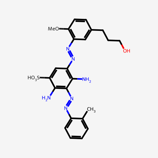 COc1ccc(CCCO)cc1/N=N/c1cc(S(=O)(=O)O)c(N)c(/N=N/c2ccccc2C)c1N